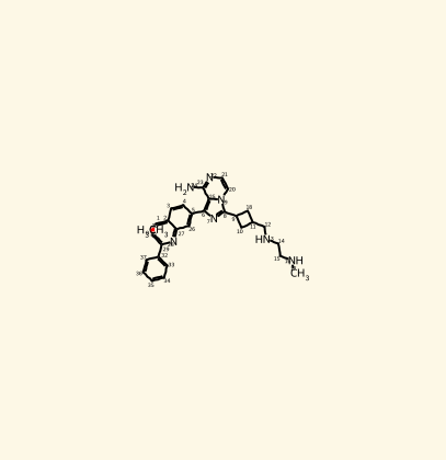 C/C=C1/C=CC(c2nc(C3CC(CNCCNC)C3)n3ccnc(N)c23)=C/C1=N/C(=C\C)c1ccccc1